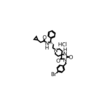 Cl.O=C(CC1CC1)N[C@@H](CCN1CCC2(CC1)NC(=O)N(Cc1ccc(Br)cc1)C2=O)c1ccccc1